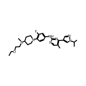 CCOCCN(C)C1CCN(c2ccc(Nc3ncc(C)c(-c4cnn(C(C)C)c4)n3)cc2F)CC1